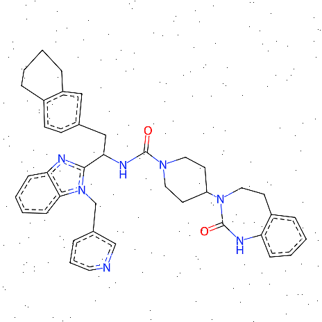 O=C(NC(Cc1ccc2c(c1)CCCC2)c1nc2ccccc2n1Cc1cccnc1)N1CCC(N2CCc3ccccc3NC2=O)CC1